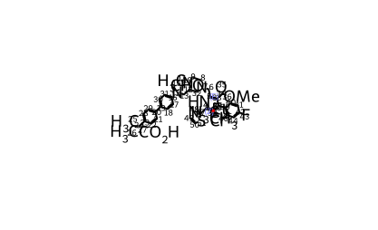 CC/C(C)=C(\N/C(CN1CCN(C)C(CN(C=O)c2ccc(-c3ccc(C(C)(C)C(=O)O)cc3)cc2)C1)=C(/C(=O)OC)[C@@H](C)c1ccc(F)cc1Cl)c1nccs1